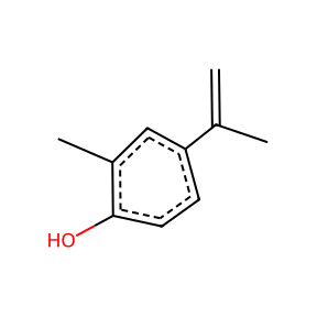 C=C(C)c1ccc(O)c(C)c1